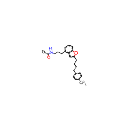 CCC(=O)NCCCc1cccc2oc(CCCCc3ccc(C(F)(F)F)cc3)cc12